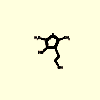 Cc1nn(C)c(O)c1CCO